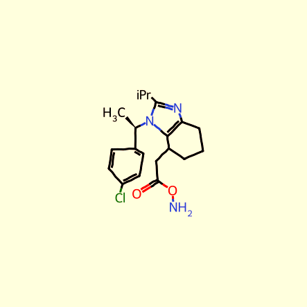 CC(C)c1nc2c(n1[C@H](C)c1ccc(Cl)cc1)C(CC(=O)ON)CCC2